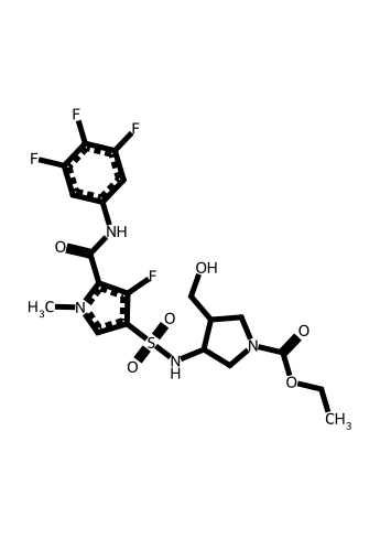 CCOC(=O)N1CC(CO)C(NS(=O)(=O)c2cn(C)c(C(=O)Nc3cc(F)c(F)c(F)c3)c2F)C1